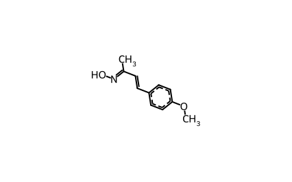 COc1ccc(C=CC(C)=NO)cc1